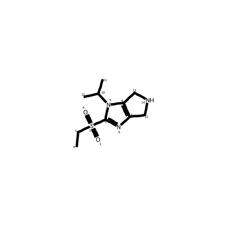 CCS(=O)(=O)c1nc2c(n1C(C)C)CNC2